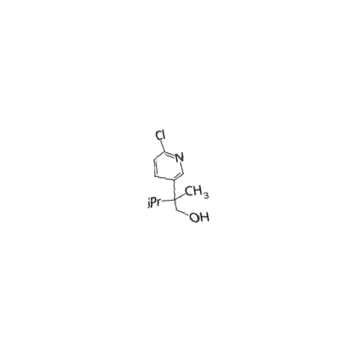 CC(C)C(C)(CO)c1ccc(Cl)nc1